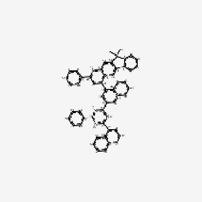 CC1(C)c2ccccc2-c2cc3c(-c4cc(-c5nc(-c6ccccc6)nc(-c6cccc7ccccc67)n5)cc5ccccc45)cc(-c4ccccc4)nc3cc21